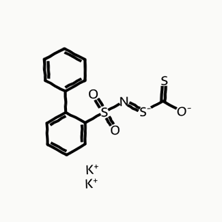 O=S(=O)(N=[S-]C([O-])=S)c1ccccc1-c1ccccc1.[K+].[K+]